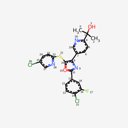 CC(C)(O)c1ccc(-c2nc(-c3ccc(Cl)c(F)c3)oc2Sc2ccc(Cl)cn2)cn1